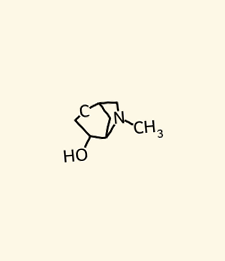 CN1CC2CCC(O)C1C2